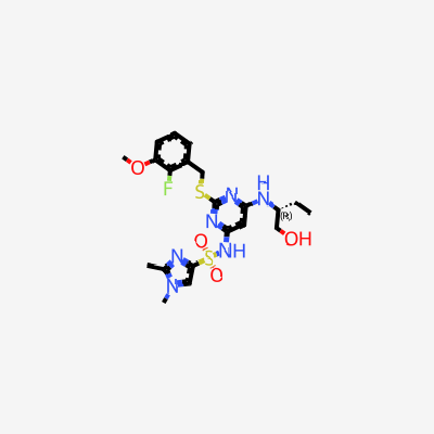 CC[C@H](CO)Nc1cc(NS(=O)(=O)c2cn(C)c(C)n2)nc(SCc2cccc(OC)c2F)n1